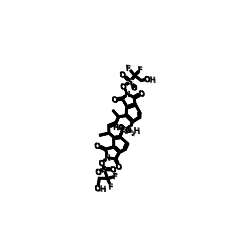 CC(/C=C/C(C)c1c(C(=O)O)ccc2c1C(=O)N(OS(=O)(=O)C(F)(F)CO)C2=O)c1c(C(=O)O)ccc2c1C(=O)N(OS(=O)(=O)C(F)(F)CO)C2=O